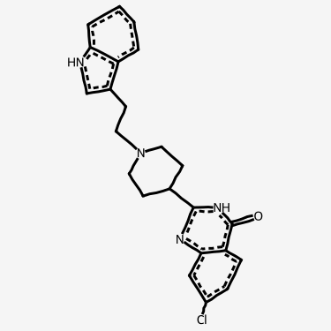 O=c1[nH]c(C2CCN(CCc3c[nH]c4ccccc34)CC2)nc2cc(Cl)ccc12